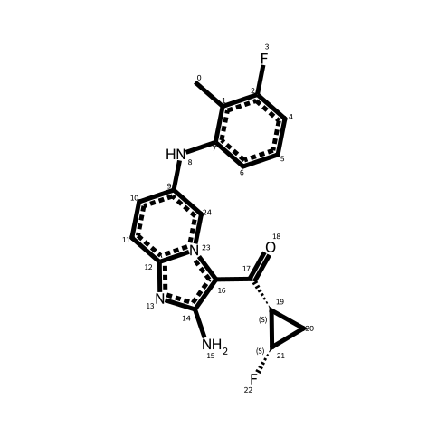 Cc1c(F)cccc1Nc1ccc2nc(N)c(C(=O)[C@@H]3C[C@@H]3F)n2c1